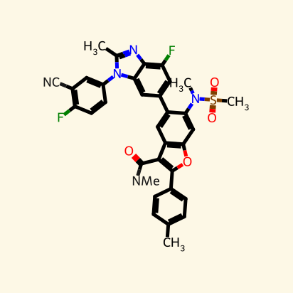 CNC(=O)c1c(-c2ccc(C)cc2)oc2cc(N(C)S(C)(=O)=O)c(-c3cc(F)c4nc(C)n(-c5ccc(F)c(C#N)c5)c4c3)cc12